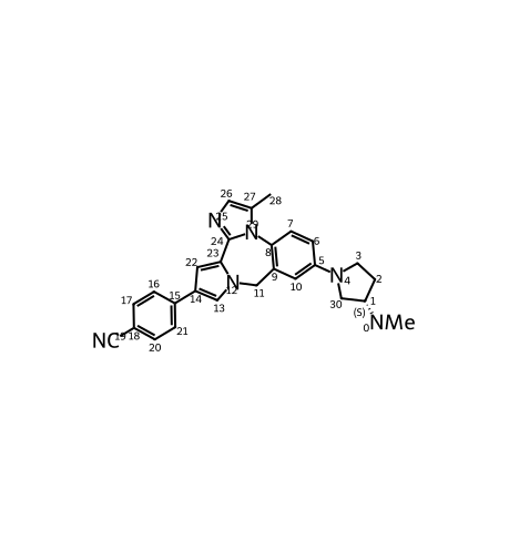 CN[C@H]1CCN(c2ccc3c(c2)Cn2cc(-c4ccc(C#N)cc4)cc2-c2ncc(C)n2-3)C1